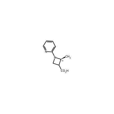 C[C@H]1C(C(=O)O)CN1c1ccccn1